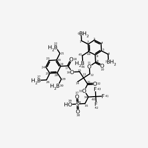 BCc1ccc(CB)c(C(=O)OCC(C)(COC(=O)c2c(CB)ccc(CB)c2CB)C(=O)OC(CS(=O)(=O)O)C(F)(F)F)c1CB